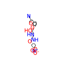 N#CC1=Cc2cccc(OCC(O)CNCCNC(=O)[C@H]3CC[C@H](O[N+](=O)[O-])CC3)c2OC1